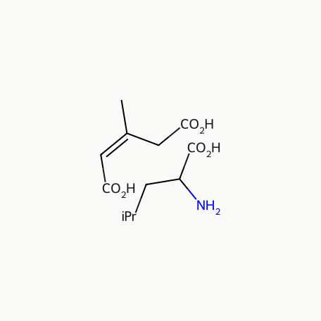 CC(=CC(=O)O)CC(=O)O.CC(C)CC(N)C(=O)O